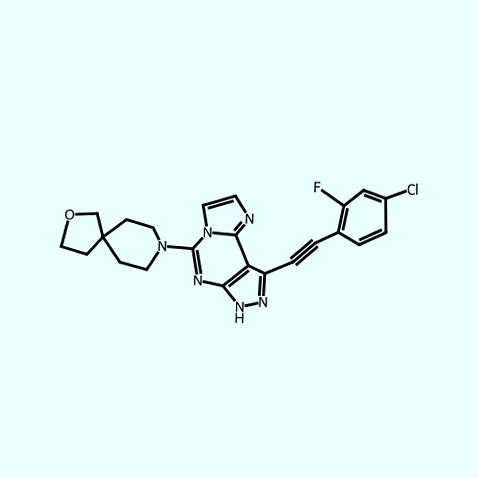 Fc1cc(Cl)ccc1C#Cc1n[nH]c2nc(N3CCC4(CCOC4)CC3)n3ccnc3c12